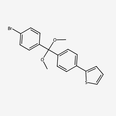 COC(OC)(c1ccc(Br)cc1)c1ccc(-c2cccs2)cc1